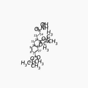 CC(C)(C)OC(=O)c1ccc(CC(CCC(=O)NO)C(=O)OC(C)(C)C)cc1